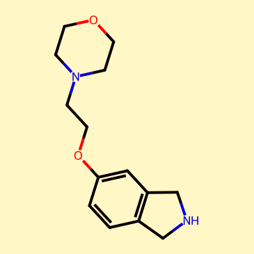 c1cc2c(cc1OCCN1CCOCC1)CNC2